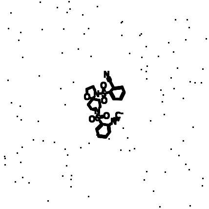 [C-]#[N+]c1ccccc1S(=O)(=O)N1CCC2(CC1)OCCN2S(=O)(=O)c1ccccc1C#N